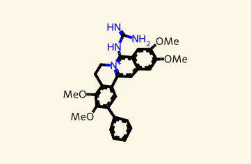 COc1cc2cc3[n+](c(NC(=N)N)c2cc1OC)CCc1c-3cc(-c2ccccc2)c(OC)c1OC